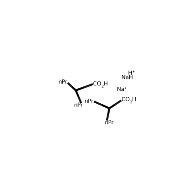 CCCC(CCC)C(=O)O.CCCC(CCC)C(=O)O.[H+].[Na+].[NaH]